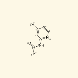 CC(C)C(=O)Nc1cc(C(C)C)ncn1